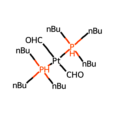 CCCC[PH](CCCC)(CCCC)[Pt]([CH]=O)([CH]=O)[PH](CCCC)(CCCC)CCCC